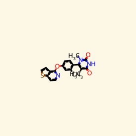 Cc1cc(Oc2nccc3sccc23)ccc1-c1c(C)c(=O)[nH]c(=O)n1C